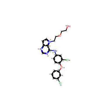 OCCOCCn1ccc2ncnc(Nc3ccc(Oc4cccc(Cl)c4)c(Cl)c3)c21